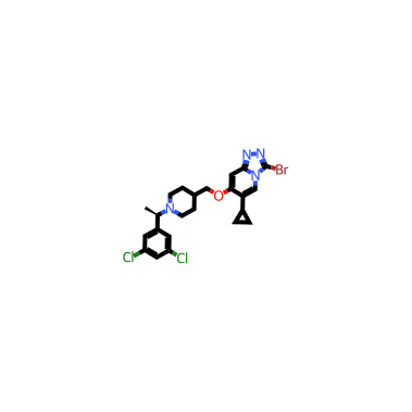 C[C@H](c1cc(Cl)cc(Cl)c1)N1CCC(COc2cc3nnc(Br)n3cc2C2CC2)CC1